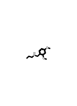 CCCNCc1ccc(OC)cc1OC